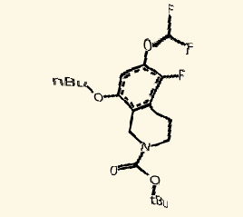 CCCCOc1cc(OC(F)F)c(F)c2c1CN(C(=O)OC(C)(C)C)CC2